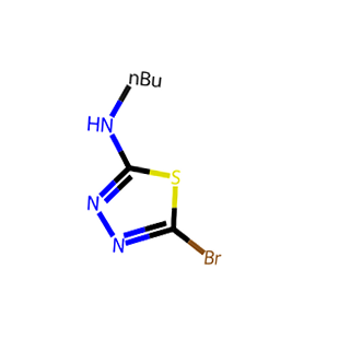 CCCCNc1nnc(Br)s1